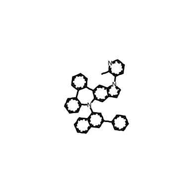 Cc1ncccc1-n1ccc2cc3c(cc21)-c1ccccc1-c1ccccc1N3c1cc(-c2ccccc2)cc2ccccc12